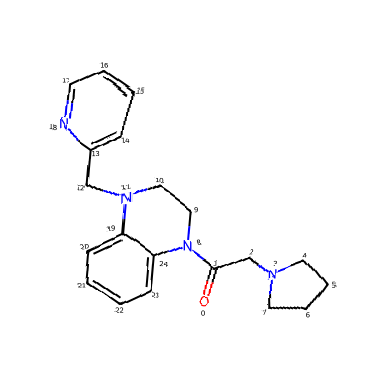 O=C(CN1CCCC1)N1CCN(Cc2ccccn2)c2ccccc21